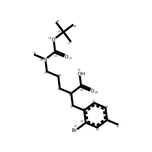 Cc1ccc(CC(CCCN(C)C(=O)OC(C)(C)C)C(=O)O)c(Br)c1